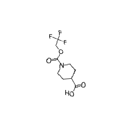 O=C(O)C1CCN(C(=O)OCC(F)(F)F)CC1